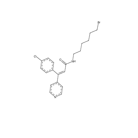 O=C(C=C(c1ccncc1)c1ccc(Cl)cc1)NCCCCCCBr